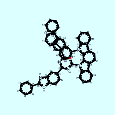 c1ccc(-c2ccc(-c3nc(-c4ccc5oc(-c6ccccc6)nc5c4)nc(-n4c5ccccc5c5ccc6c7ccccc7n(-c7cccc(-c8ccccc8)c7)c6c54)n3)cc2)cc1